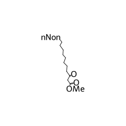 CCCCCCCCCCCCCCCCCC(=O)CC(=O)OC